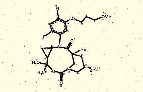 CCc1cc(F)c(N2C(=O)[C@@H]3C[C@H](C(=O)O)CN(C3)C(=O)OC(C)(C)C3CC32)cc1OCCCOC